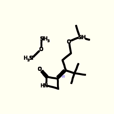 C[SiH](C)OCC/C(=C1/CNC1=O)C(C)(C)C.[SiH3]O[SiH3]